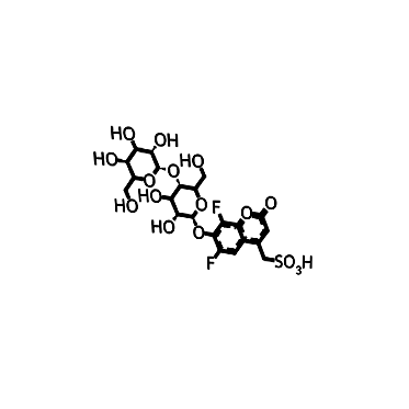 O=c1cc(CS(=O)(=O)O)c2cc(F)c(O[C@@H]3OC(CO)[C@@H](O[C@@H]4OC(CO)[C@@H](O)C(O)[C@@H]4O)C(O)[C@@H]3O)c(F)c2o1